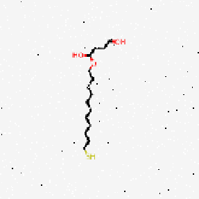 OCCCC(O)OCCCCCCCCCCCS